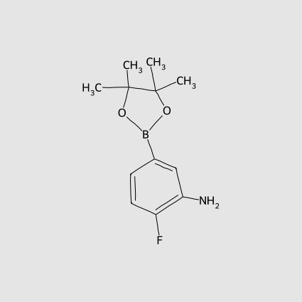 CC1(C)OB(c2ccc(F)c(N)c2)OC1(C)C